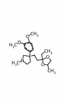 CCC1(CC[C@@]2(c3ccc(OC)c(OC)c3)CCN(C)C2)OCC(C)O1